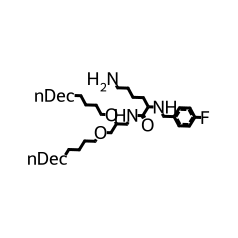 CCCCCCCCCCCCCCOCC(CNC(=O)C(CCCCN)NCc1ccc(F)cc1)OCCCCCCCCCCCCCC